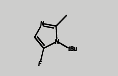 Cc1ncc(F)n1C(C)(C)C